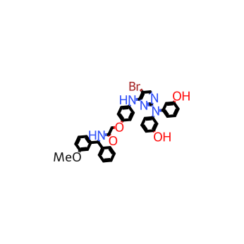 COc1cccc(C(NC(=O)COc2ccc(Nc3nc(N(c4cccc(O)c4)c4cccc(O)c4)ncc3Br)cc2)c2ccccc2)c1